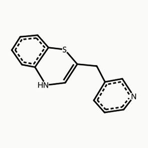 C1=C(Cc2cccnc2)Sc2ccccc2N1